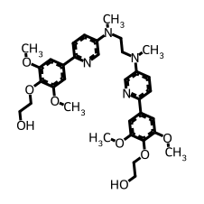 COc1cc(-c2ccc(N(C)CCN(C)c3ccc(-c4cc(OC)c(OCCO)c(OC)c4)nc3)cn2)cc(OC)c1OCCO